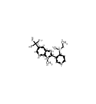 CC[S+]([O-])c1ccncc1-c1nc2cc(C(F)(F)F)cnc2n1C